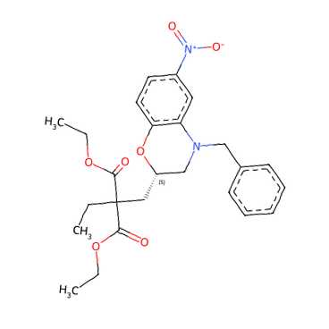 CCOC(=O)C(CC)(C[C@H]1CN(Cc2ccccc2)c2cc([N+](=O)[O-])ccc2O1)C(=O)OCC